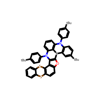 CC(C)(C)c1ccc(N2c3ccc(C(C)(C)C)cc3B3c4oc5ccc6c(c5c4N(c4ccc(C(C)(C)C)cc4)c4cccc2c43)Sc2ccccc2S6)cc1